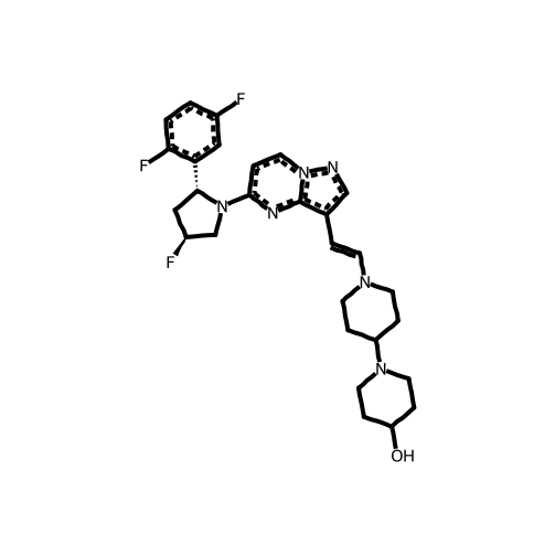 OC1CCN(C2CCN(/C=C/c3cnn4ccc(N5C[C@@H](F)C[C@@H]5c5cc(F)ccc5F)nc34)CC2)CC1